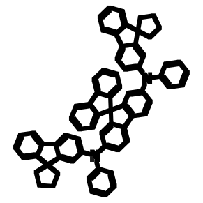 c1ccc(N(c2ccc3c(c2)C2(CCCC2)c2ccccc2-3)c2ccc3c(c2)C2(c4ccccc4-c4ccccc42)c2cc(N(c4ccccc4)c4ccc5c(c4)C4(CCCC4)c4ccccc4-5)ccc2-3)cc1